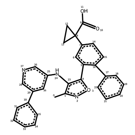 Cc1noc(-c2cc(C3(C(=O)O)CC3)ccc2-c2ccccc2)c1Nc1cncc(-c2ccccc2)c1